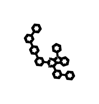 c1ccc(-c2cccc(-c3ccc(-c4cccc(-c5nc(-c6cccc(-c7ccccc7)c6)c6c7ccccc7n(-c7ccccc7)c6n5)c4)cc3)c2)cc1